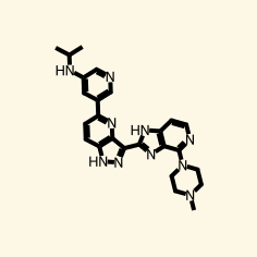 CC(C)Nc1cncc(-c2ccc3[nH]nc(-c4nc5c(N6CCN(C)CC6)nccc5[nH]4)c3n2)c1